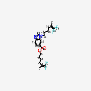 CC(CCCCOC(=O)c1ccc2ncn(CCCCC(C)=C(F)F)c2c1)=C(F)F